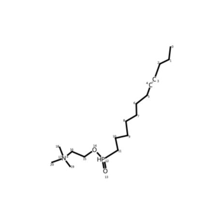 CCCCCCCCCCCC[PH](=O)OCC[N+](C)(C)C